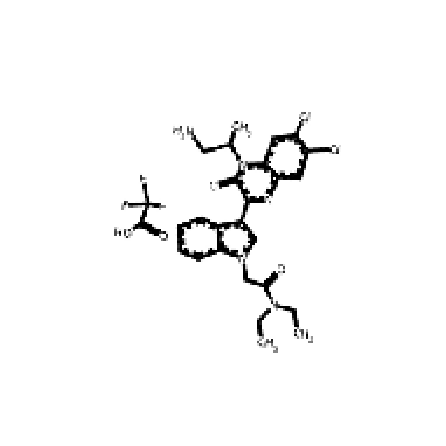 CCN(CC)C(=O)Cn1cc(-c2nc3cc(Cl)c(Cl)cc3n(C(C)CN)c2=O)c2ccccc21.O=C(O)C(F)(F)F